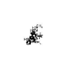 CCNC(=O)Nc1cc(-c2nc(C(F)(F)F)cs2)c(-c2ccc3c(c2)c(=O)c(C)cn3C2(CO)CCOCC2)cn1